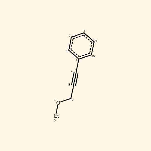 CCOCC#Cc1ccccc1